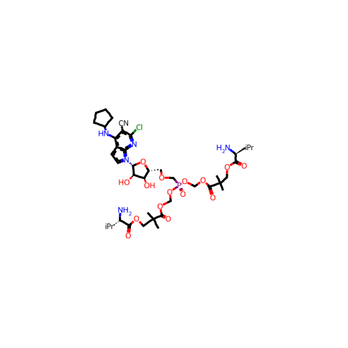 CC(C)[C@H](N)C(=O)OCC(C)(C)C(=O)OCOP(=O)(COC[C@H]1O[C@@H](n2ccc3c(NC4CCCC4)c(C#N)c(Cl)nc32)[C@H](O)[C@@H]1O)OCOC(=O)C(C)(C)COC(=O)[C@@H](N)C(C)C